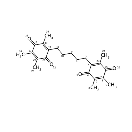 CC1=C(C)C(=O)C(CCCCCC2=C(C)C(=O)C(C)=C(C)C2=O)=C(C)C1=O